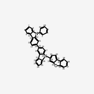 c1ccc(-n2c3ccccc3c3ccc(-c4ccc5c(c4)c4ccccc4n5-c4ccc5c(c4)oc4ccccc45)cc32)cc1